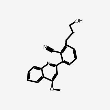 COc1cc(-c2cccc(C[CH]CO)c2C#N)nc2ccccc12